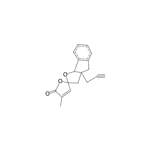 C#CCC12Cc3ccccc3C1OC1(C=C(C)C(=O)O1)C2